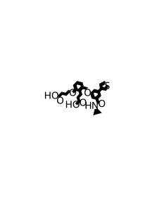 O=C(O)CCCOc1cccc(COc2cc(C(=O)NC3CC3)cc(-c3ccsc3)c2)c1CCC(=O)O